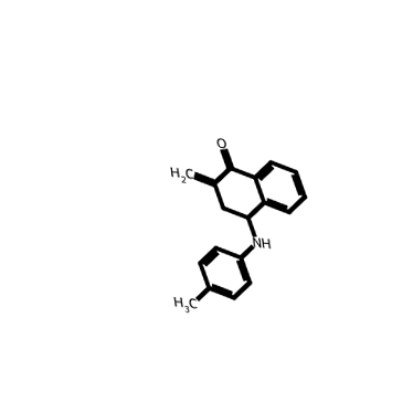 C=C1CC(Nc2ccc(C)cc2)c2ccccc2C1=O